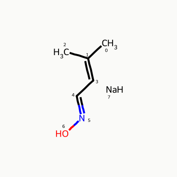 CC(C)=CC=NO.[NaH]